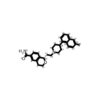 NC(=O)c1ccc2c(c1)CCO[C@H]2CCN1CCC(c2cccc3cc(F)ccc23)CC1